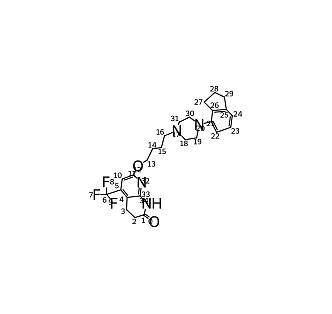 O=C1CCc2c(C(F)(F)F)cc(OCCCCN3CCN(c4cccc5c4CCC5)CC3)nc2N1